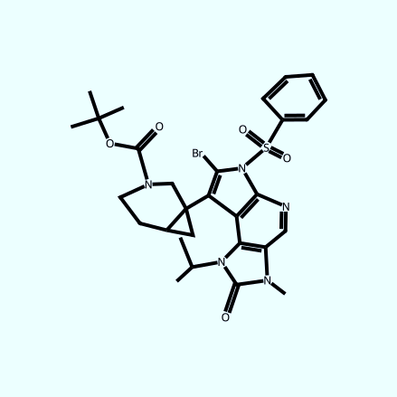 CC(C)n1c(=O)n(C)c2cnc3c(c(C45CC4CCN(C(=O)OC(C)(C)C)C5)c(Br)n3S(=O)(=O)c3ccccc3)c21